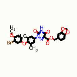 COc1ccc(Oc2c(C)cc(-n3nc(C(=O)OCc4ccc5c(c4)OCO5)c(=O)[nH]c3=O)cc2C)cc1Br